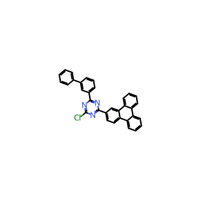 Clc1nc(-c2cccc(-c3ccccc3)c2)nc(-c2ccc3c4ccccc4c4ccccc4c3c2)n1